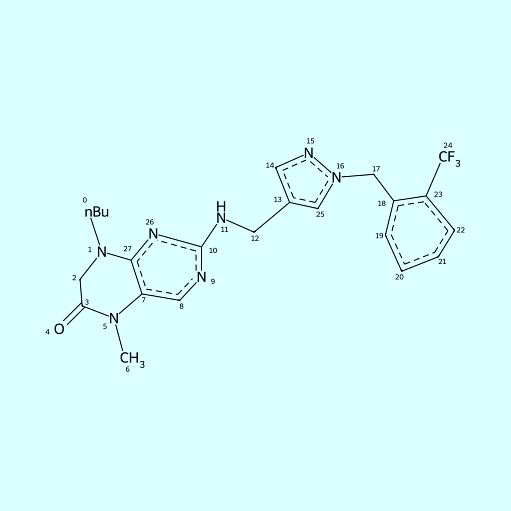 CCCCN1CC(=O)N(C)c2cnc(NCc3cnn(Cc4ccccc4C(F)(F)F)c3)nc21